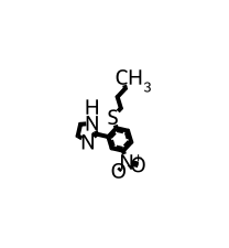 CCCCSc1ccc([N+](=O)[O-])cc1C1=NCCN1